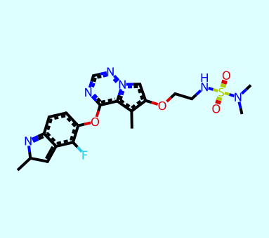 Cc1c(OCCNS(=O)(=O)N(C)C)cn2ncnc(Oc3ccc4c(c3F)=CC(C)N=4)c12